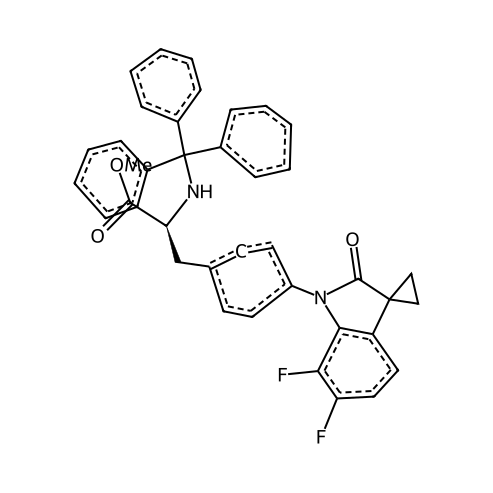 COC(=O)[C@H](Cc1ccc(N2C(=O)C3(CC3)c3ccc(F)c(F)c32)cc1)NC(c1ccccc1)(c1ccccc1)c1ccccc1